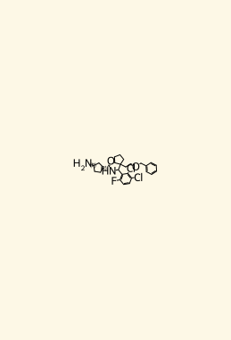 N[C@@H]1CC[C@@H](C(=O)NC(c2c(F)ccc(Cl)c2Cl)C2(CCOCc3ccccc3)CCCC2)C1